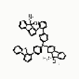 CC1(C)c2ccccc2-c2ccc(N(c3ccc(-c4ccccc4-c4cccc5c4C(C)(C)c4ccccc4-5)cc3)c3ccc(-c4cccc5c4sc4ccccc45)cc3)cc21